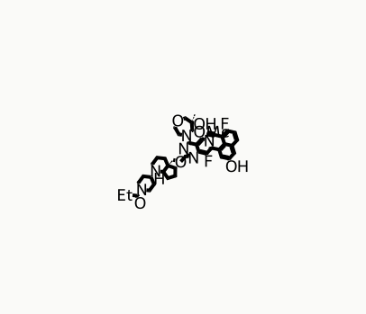 C#Cc1c(F)ccc2cc(O)cc(-c3nc(OC)c4c(N5CCOC[C@@](C)(O)C5)nc(OC[C@]56CCC[C@H]5N(C5CCN(C(=O)CC)CC5)CCC6)nc4c3F)c12